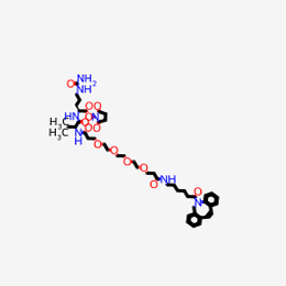 CC(C)[C@H](NC(=O)CCOCCOCCOCCOCCC(=O)NCCCCCC(=O)N1Cc2ccccc2C#Cc2ccccc21)C(=O)N[C@@H](CCCNC(N)=O)C(=O)ON1C(=O)CCC1=O